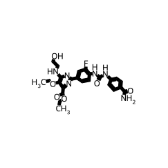 CCOc1c(NCCO)nc(-c2ccc(NC(=O)Nc3ccc(C(N)=O)cc3)c(F)c2)nc1C1OC(C)O1